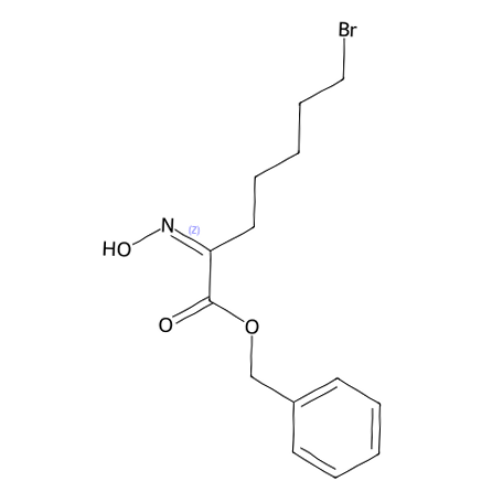 O=C(OCc1ccccc1)/C(CCCCCBr)=N\O